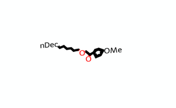 CCCCCCCCCCCCCCCCOCC(=O)c1ccc(OC)cc1